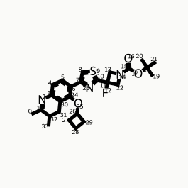 CC1=Nc2ccc(-c3csc(C4(F)CN(C(=O)OC(C)(C)C)C4)n3)c(OC3CCC3)c2CC1C